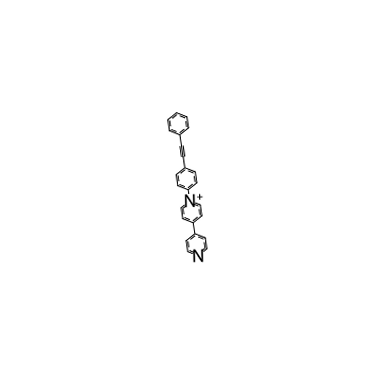 C(#Cc1ccc(-[n+]2ccc(-c3ccncc3)cc2)cc1)c1ccccc1